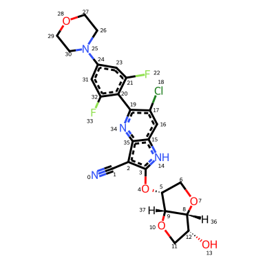 N#Cc1c(O[C@@H]2CO[C@H]3[C@@H]2OC[C@H]3O)[nH]c2cc(Cl)c(-c3c(F)cc(N4CCOCC4)cc3F)nc12